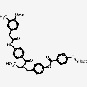 CCCCCCCOc1ccc(C(=O)Oc2ccc(CN(CC(=O)O)C(=O)c3ccc(NC(=O)Cc4ccc(OC)c(C)c4)cc3)cc2)cc1